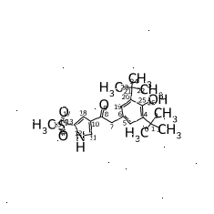 CC(C)(C)c1cc(CC(=O)c2c[nH]c(S(C)(=O)=O)c2)cc(C(C)(C)C)c1O